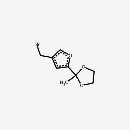 CC1(c2cc(CBr)co2)OCCO1